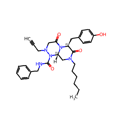 C#CCN1CC(=O)N2[C@@H](Cc3ccc(O)cc3)C(=O)N(CCCCCC)C[C@@H]2N1C(=O)NCc1ccccc1